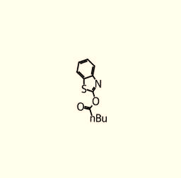 CCCCC(=O)Oc1nc2ccccc2s1